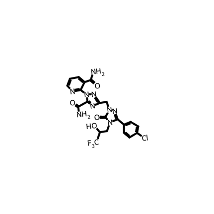 NC(=O)c1cccnc1-n1nc(Cn2nc(-c3ccc(Cl)cc3)n(CC(O)C(F)(F)F)c2=O)nc1C(N)=O